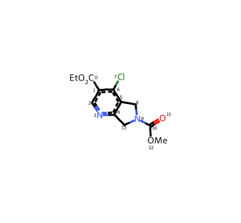 CCOC(=O)c1cnc2c(c1Cl)CN(C(=O)OC)C2